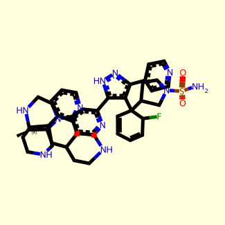 C[C@H]1NCCN(c2ccnc(-c3[nH]nc(-c4ccncc4)c3C3(C4CCN(S(N)(=O)=O)C4)C=CC=CC3F)c2)C1CC1CCNCC1c1ncccc1C1CCCNC1